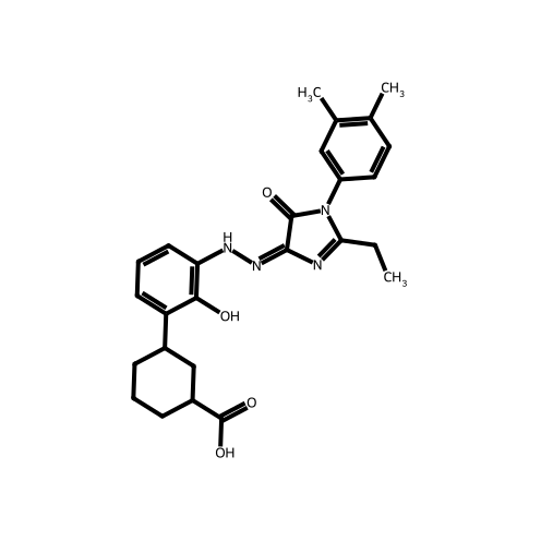 CCC1=N/C(=N/Nc2cccc(C3CCCC(C(=O)O)C3)c2O)C(=O)N1c1ccc(C)c(C)c1